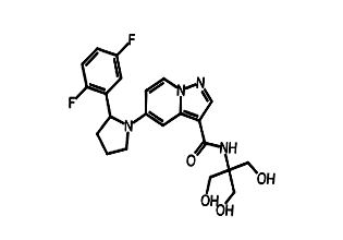 O=C(NC(CO)(CO)CO)c1cnn2ccc(N3CCCC3c3cc(F)ccc3F)cc12